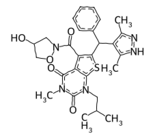 Cc1n[nH]c(C)c1C(c1ccccc1)c1sc2c(c1C(=O)N1CC(O)CO1)c(=O)n(C)c(=O)n2CC(C)C